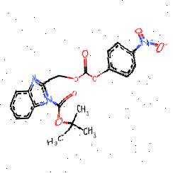 CC(C)(C)OC(=O)n1c(COC(=O)Oc2ccc([N+](=O)[O-])cc2)nc2ccccc21